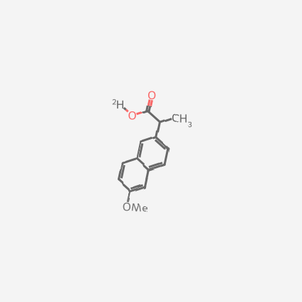 [2H]OC(=O)C(C)c1ccc2cc(OC)ccc2c1